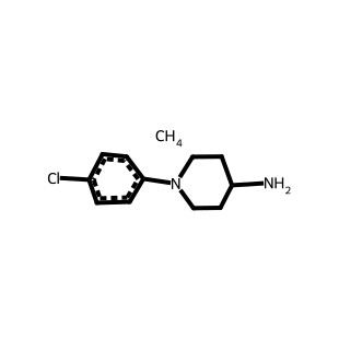 C.NC1CCN(c2ccc(Cl)cc2)CC1